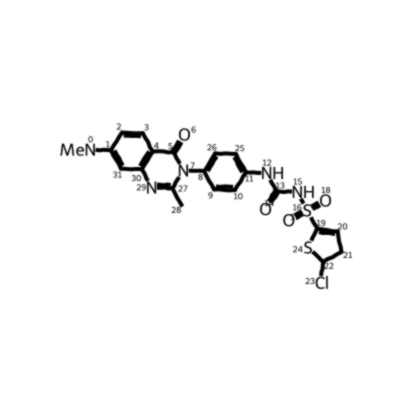 CNc1ccc2c(=O)n(-c3ccc(NC(=O)NS(=O)(=O)C4=CCC(Cl)S4)cc3)c(C)nc2c1